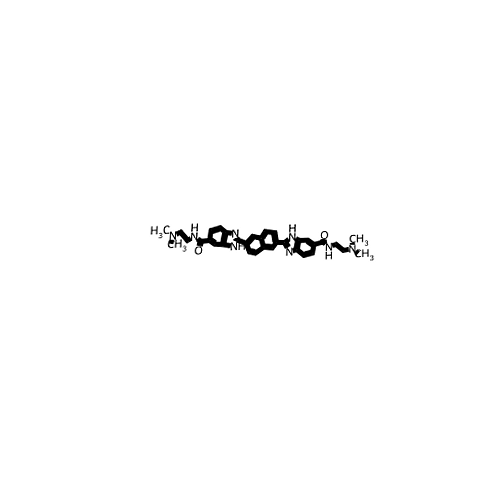 CN(C)CCNC(=O)c1ccc2nc(-c3ccc4cc(-c5nc6ccc(C(=O)NCCN(C)C)cc6[nH]5)ccc4c3)[nH]c2c1